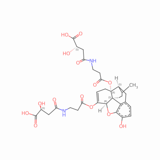 CC1CC[C@]23c4c5ccc(O)c4O[C@H]2C(OC(=O)CCNC(=O)C[C@H](O)C(=O)O)=CC[C@@]3(OC(=O)CCNC(=O)C[C@H](O)C(=O)O)[C@H]1C5